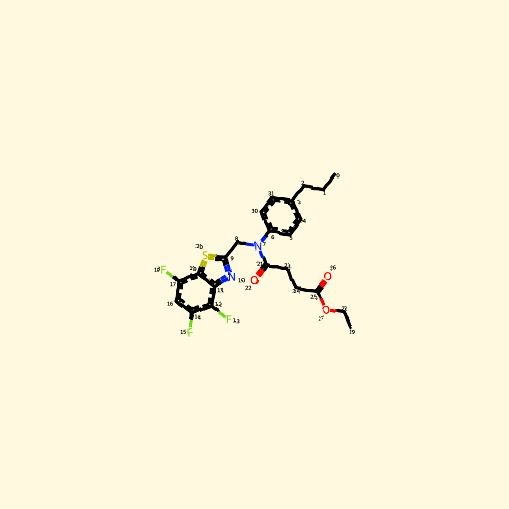 CCCc1ccc(N(Cc2nc3c(F)c(F)cc(F)c3s2)C(=O)CCC(=O)OCC)cc1